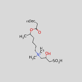 CCCCCCCCCCCC(=O)OC(C)CCCC[N+](C)(C)CC(O)CS(=O)(=O)O